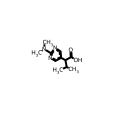 CC(C)C(C(=O)O)c1cnc(N(C)C)nc1